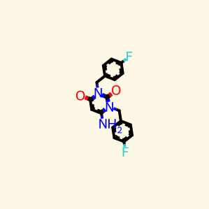 Nc1cc(=O)n(Cc2ccc(F)cc2)c(=O)n1Cc1ccc(F)cc1